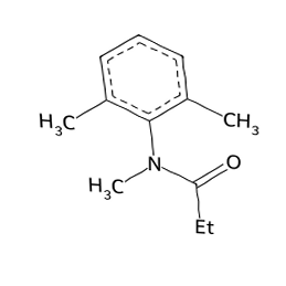 CCC(=O)N(C)c1c(C)cccc1C